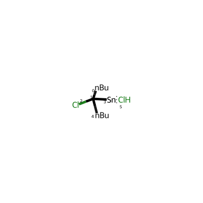 CCCC[C](Cl)([Sn])CCCC.Cl